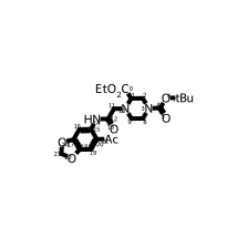 CCOC(=O)C1CN(C(=O)OC(C)(C)C)CCN1CC(=O)Nc1cc2c(cc1C(C)=O)OCO2